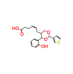 O=C(O)CC/C=C\CC1COC(c2ccsc2)OC1c1ccccc1O